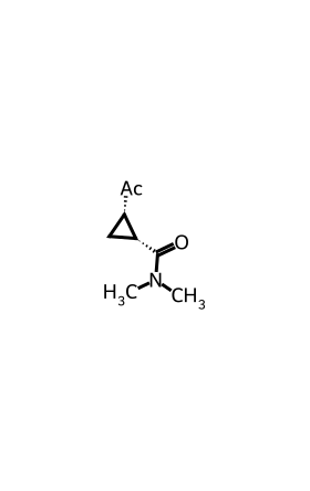 CC(=O)[C@H]1C[C@H]1C(=O)N(C)C